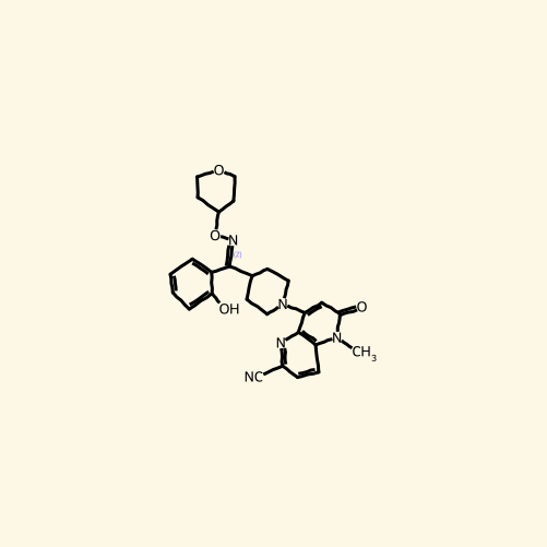 Cn1c(=O)cc(N2CCC(/C(=N/OC3CCOCC3)c3ccccc3O)CC2)c2nc(C#N)ccc21